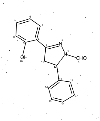 O=CN1N=C(c2ccccc2O)CC1c1ccccc1